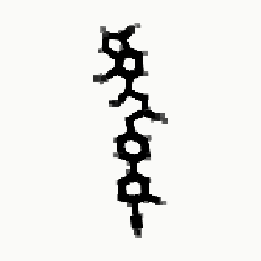 Cc1c(C(O)CN(C)Cc2cnc(-c3ccc(C#N)c(F)c3)nc2)ccc2c1COC2=O